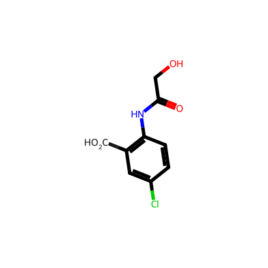 O=C(CO)Nc1ccc(Cl)cc1C(=O)O